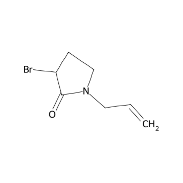 C=CCN1CCC(Br)C1=O